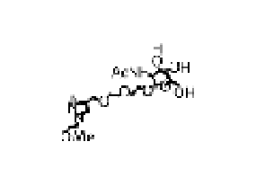 COCCn1cc(COCCOCCO[C@@H]2OC(CO)[C@H](O)C(O)C2NC(C)=O)nn1